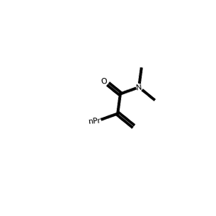 C=C(CCC)C(=O)N(C)C